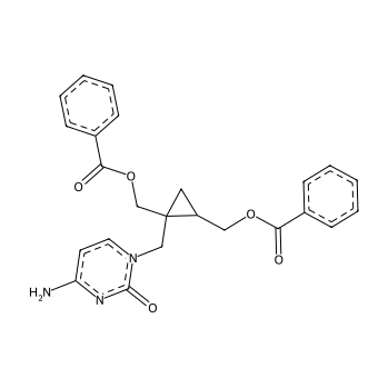 Nc1ccn(CC2(COC(=O)c3ccccc3)CC2COC(=O)c2ccccc2)c(=O)n1